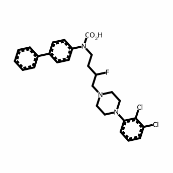 O=C(O)N(CCC(F)CN1CCN(c2cccc(Cl)c2Cl)CC1)c1ccc(-c2ccccc2)cc1